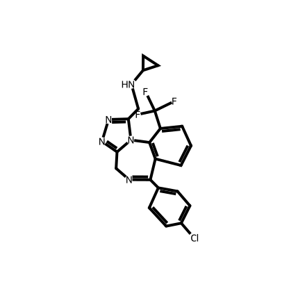 FC(F)(F)c1cccc2c1-n1c(nnc1CNC1CC1)CN=C2c1ccc(Cl)cc1